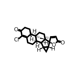 C[C@]12CC[C@H]3[C@@H](CCC4=C(Cl)C(=O)CC[C@@H]43)[C@@H]1[C@H]1C[C@H]1[C@@]21C=CC(=O)O1